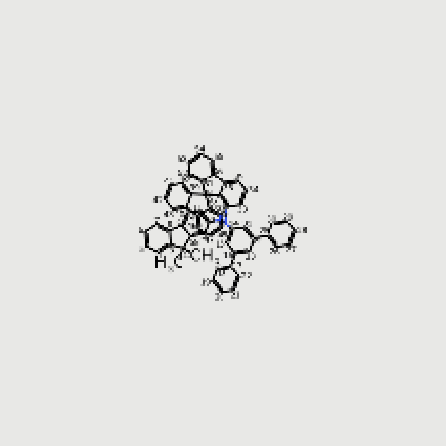 CC1(C)c2ccccc2-c2ccc(N(c3cc(-c4ccccc4)cc(-c4ccccc4)c3)c3cccc4c3C3(c5ccccc5-c5ccccc53)c3ccccc3-4)cc21